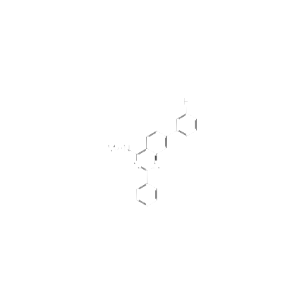 CNc1nc(-c2ccccc2)nc2cc(-c3cccc(F)c3)ccc12